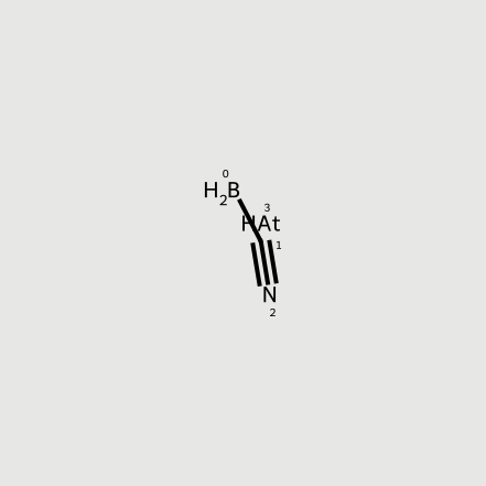 BC#N.[AtH]